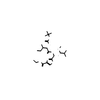 CCOC(=O)c1csc([C@@H](C[C@@H](NC)C(C)C)OC(=O)[C@@H](NC(=O)OC(C)(C)C)C(C)CC)n1